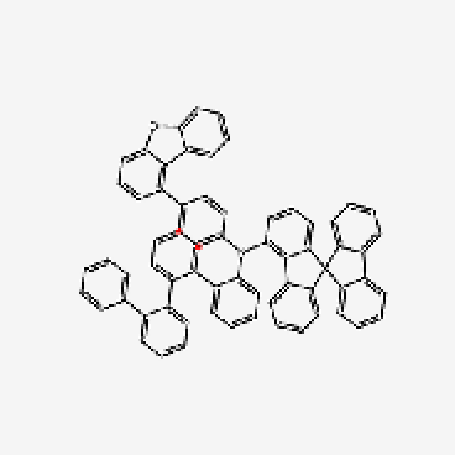 c1ccc(-c2ccccc2-c2ccccc2-c2ccccc2N(c2ccc(-c3cccc4oc5ccccc5c34)cc2)c2cccc3c2-c2ccccc2C32c3ccccc3-c3ccccc32)cc1